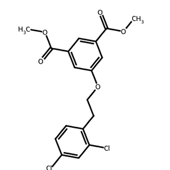 COC(=O)c1cc(OCCc2ccc(Cl)cc2Cl)cc(C(=O)OC)c1